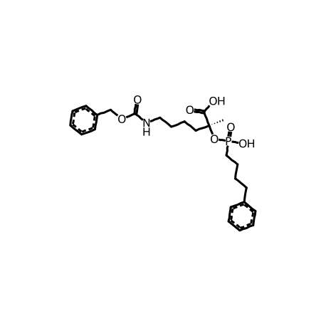 C[C@@](CCCCNC(=O)OCc1ccccc1)(OP(=O)(O)CCCCc1ccccc1)C(=O)O